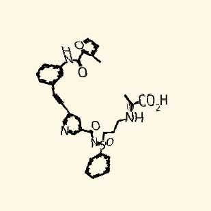 Cc1ccoc1C(=O)Nc1cccc(C#Cc2cncc(C(=O)N=S(=O)(CCCN[C@@H](C)C(=O)O)c3ccccc3)c2)c1